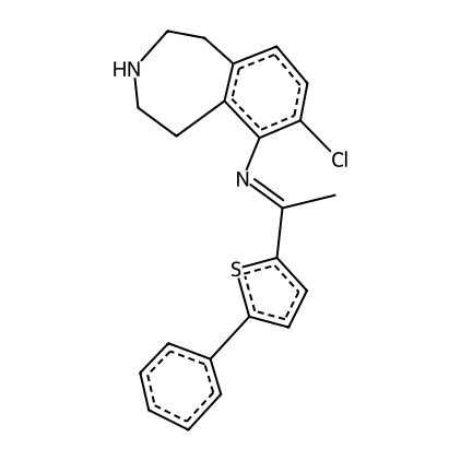 C/C(=N\c1c(Cl)ccc2c1CCNCC2)c1ccc(-c2ccccc2)s1